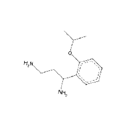 CC(C)Oc1ccccc1C(N)CCN